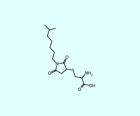 CC(C)CCCCCN1C(=O)CC(SCC(N)C(=O)O)C1=O